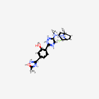 Cc1nc(-c2ccc(-c3ncc(N(C)[C@H]4C[C@@H]5CCC(N5)[C@H]4F)nn3)c(O)c2)no1